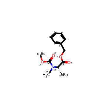 CCCC[C@@H](C(=O)OCc1ccccc1)N(C)C(=O)OC(C)(C)C